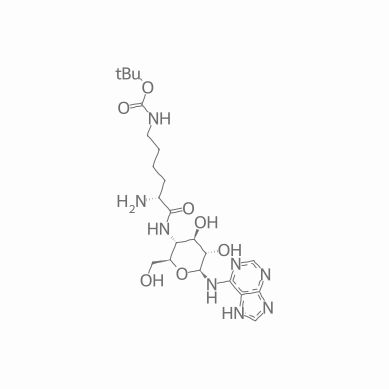 CC(C)(C)OC(=O)NCCCC[C@@H](N)C(=O)N[C@@H]1[C@@H](O)[C@H](O)[C@@H](Nc2ncnc3nc[nH]c23)O[C@H]1CO